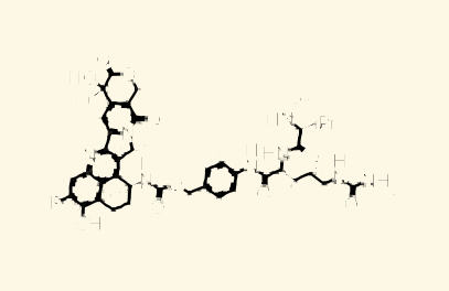 CC[C@@]1(O)C(=O)OCc2c1cc1n(c2=O)Cc2c-1nc1cc(F)c(C)c3c1c2[C@@H](NC(=O)OCc1ccc(NC(=O)[C@H](CCCNC(N)=O)NC(=O)[C@@H](NC(C)C)C(C)C)cc1)CC3